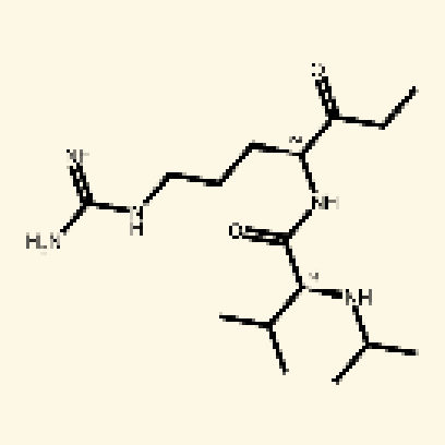 CCC(=O)[C@H](CCCNC(=N)N)NC(=O)[C@@H](NC(C)C)C(C)C